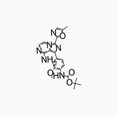 COc1cc(-c2nc(-c3ncc(C)o3)n3ccnc(N)c23)ccc1NC(=O)OC(C)(C)C